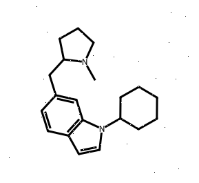 CN1CCCC1Cc1ccc2ccn(C3CCCCC3)c2c1